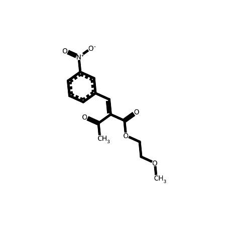 COCCOC(=O)/C(=C/c1cccc([N+](=O)[O-])c1)C(C)=O